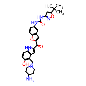 CC(C)(C)c1cc(NC(=O)Nc2ccc3oc(C(=O)c4cc5c(CN6CCC(N)CC6)c(O)ccc5[nH]4)cc3c2)no1